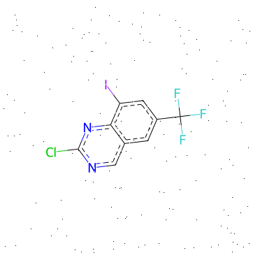 FC(F)(F)c1cc(I)c2nc(Cl)ncc2c1